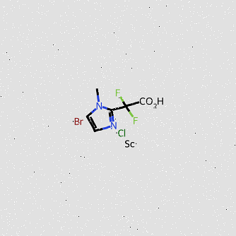 Cn1ccnc1C(F)(F)C(=O)O.[Br].[Cl].[Sc]